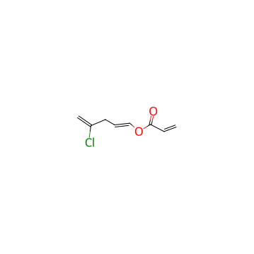 C=CC(=O)OC=CCC(=C)Cl